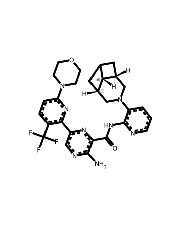 Nc1ncc(-c2nc(N3CCOCC3)ccc2C(F)(F)F)nc1C(=O)Nc1ncccc1N1C[C@H]2CC3C[C@@H](C1)[C@H]32